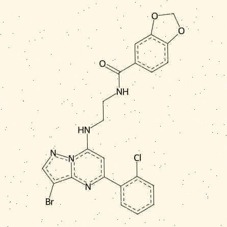 O=C(NCCNc1cc(-c2ccccc2Cl)nc2c(Br)cnn12)c1ccc2c(c1)OCO2